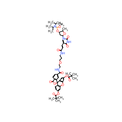 COP(O[C@@H]1CC(n2cc(/C=C/C(=O)NCCCOCCNC(=O)c3ccc4c(c3)C3(OC4=O)c4ccc(OC(=O)C(C)(C)C)cc4Oc4cc(OC(=O)C(C)(C)C)ccc43)c(=O)[nH]c2=O)OC1C)N(C(C)C)C(C)C